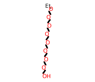 CCOCCOCCOCCOCCOCCOCCOCCOCCO